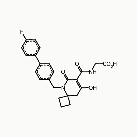 O=C(O)CNC(=O)C1=C(O)CC2(CCC2)N(Cc2ccc(-c3ccc(F)cc3)cc2)C1=O